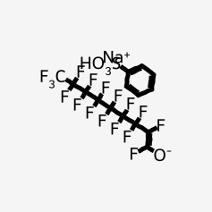 O=S(=O)(O)c1ccccc1.[Na+].[O-]C(F)=C(F)C(F)(F)C(F)(F)C(F)(F)C(F)(F)C(F)(F)C(F)(F)C(F)(F)F